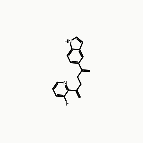 C=C(CCC(=C)c1ncccc1F)c1ccc2[nH]ccc2c1